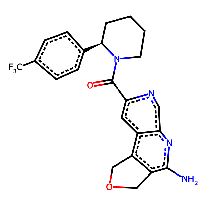 Nc1nc2cnc(C(=O)N3CCCC[C@@H]3c3ccc(C(F)(F)F)cc3)cc2c2c1COC2